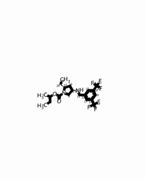 CCC(C)OC(=O)N1C[C@@H](NCc2cc(C(F)(F)F)cc(C(F)(F)F)c2)C[C@H]1CC